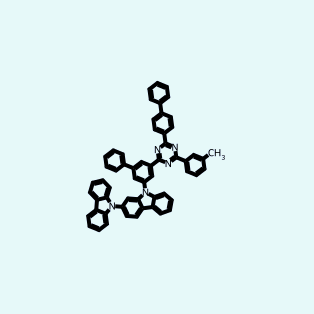 Cc1cccc(-c2nc(-c3ccc(-c4ccccc4)cc3)nc(-c3cc(-c4ccccc4)cc(-n4c5ccccc5c5ccc(-n6c7ccccc7c7ccccc76)cc54)c3)n2)c1